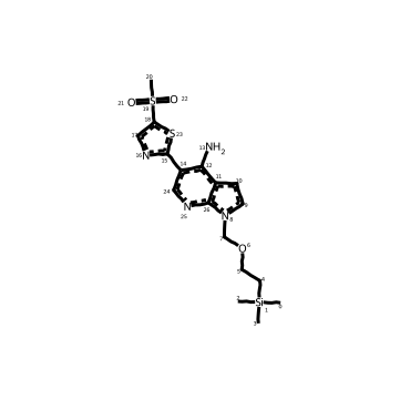 C[Si](C)(C)CCOCn1ccc2c(N)c(-c3ncc(S(C)(=O)=O)s3)cnc21